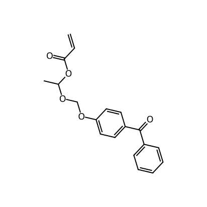 C=CC(=O)OC(C)OCOc1ccc(C(=O)c2ccccc2)cc1